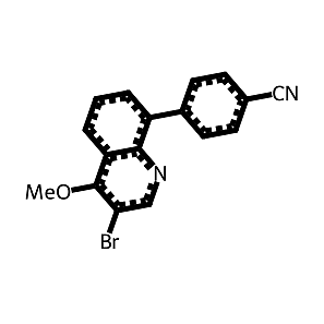 COc1c(Br)cnc2c(-c3ccc(C#N)cc3)cccc12